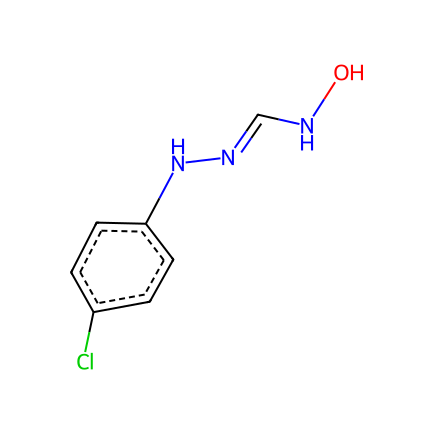 ONC=NNc1ccc(Cl)cc1